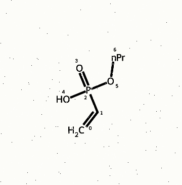 C=CP(=O)(O)OCCC